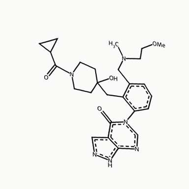 COCCN(C)Cc1cccc(-n2cnc3[nH]ncc3c2=O)c1CC1(O)CCN(C(=O)C2CC2)CC1